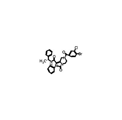 C[C@@H](NC(=O)c1c2n(c(=O)n1-c1ccccc1)CCN(C(=O)c1ccc(Br)c(Cl)c1)C2)c1ccccc1